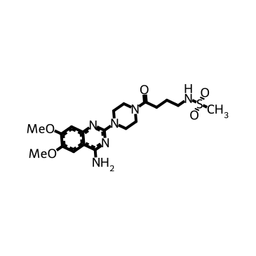 COc1cc2nc(N3CCN(C(=O)CCCNS(C)(=O)=O)CC3)nc(N)c2cc1OC